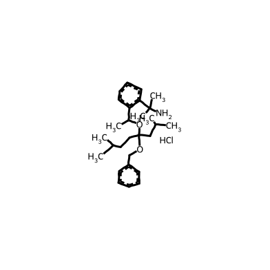 CC(C)CCC(CC(C)C)(OCc1ccccc1)OC(C)c1ccccc1C(C)(C)N.Cl